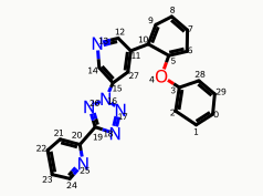 c1ccc(Oc2ccccc2-c2cncc(-n3nnc(-c4ccccn4)n3)c2)cc1